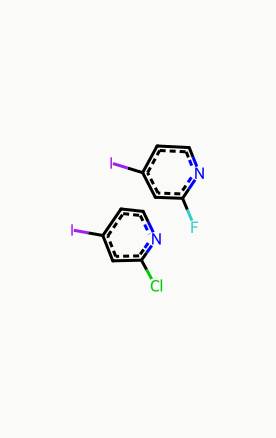 Clc1cc(I)ccn1.Fc1cc(I)ccn1